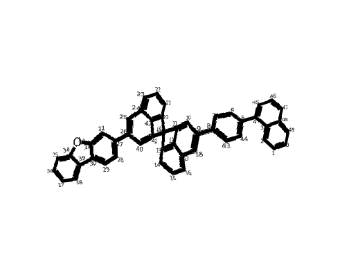 c1ccc2c(-c3ccc(-c4cc5c6c(cccc6c4)C54c5cccc6cc(-c7ccc8c(c7)oc7ccccc78)cc4c56)cc3)cccc2c1